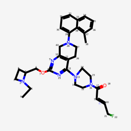 CCN1CCC1COc1nc2c(c(N3CCN(C(=O)/C=C/CF)CC3)n1)CCN(c1cccc3cccc(C)c13)C2